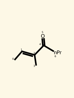 C/C=C(\C)C(=O)CCC